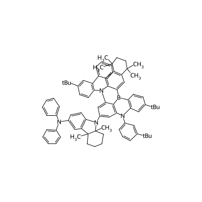 CC(C)(C)c1cccc(N2c3cc(C(C)(C)C)ccc3B3c4cc5c(cc4N(c4ccc(C(C)(C)C)cc4-c4ccccc4)c4cc(N6c7ccc(N(c8ccccc8)c8ccccc8)cc7C7(C)CCCCC67C)cc2c43)C(C)(C)CCC5(C)C)c1